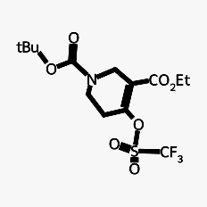 CCOC(=O)C1=C(OS(=O)(=O)C(F)(F)F)CCN(C(=O)OC(C)(C)C)C1